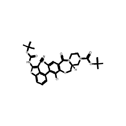 CC(C)(C)OC(=O)Nc1sc2cccc(-c3c(F)cc4c(c3Cl)OC[C@H]3CN(C(=O)OC(C)(C)C)CCN3C4=O)c2c1C#N